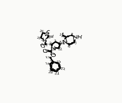 O=C([C@@H]1C[C@H](N2CCNCC2I)CN1C(=O)OCc1ccccc1)N1CCSC1